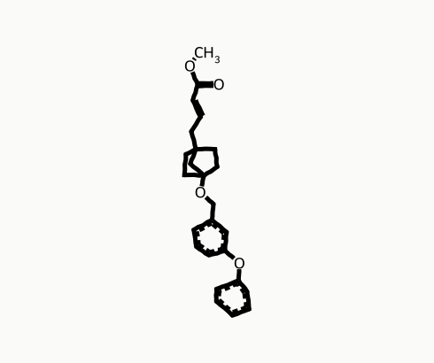 COC(=O)C=CCC12CCC(OCc3cccc(Oc4ccccc4)c3)(CC1)C2